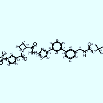 CC(C)(C)OC(=O)NCc1cccc(-c2cccc(-c3csc(NC(=O)[C@@H]4CCN4C(=O)c4ccn(S(C)(=O)=O)c4)n3)c2)c1